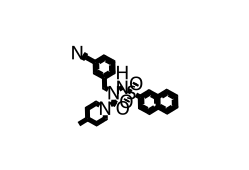 CC1CCN(C(=O)N(Cc2cccc(C#N)c2)NS(=O)(=O)c2ccc3ccccc3c2)CC1